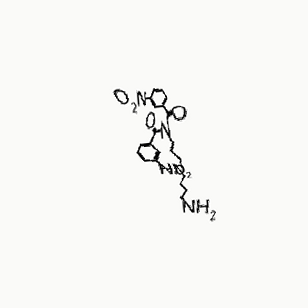 NCCCCNCCCN(C(=O)c1cccc([N+](=O)[O-])c1)C(=O)c1cccc([N+](=O)[O-])c1